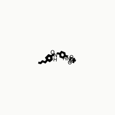 CCCCc1ccc(C(=O)NCC2CCC(CNS(=O)(=O)C(C)(C)C)CC2)cc1